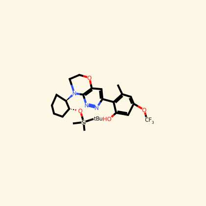 Cc1cc(OC(F)(F)F)cc(O)c1-c1cc2c(nn1)N([C@@H]1CCCC[C@H]1O[Si](C)(C)C(C)(C)C)CCO2